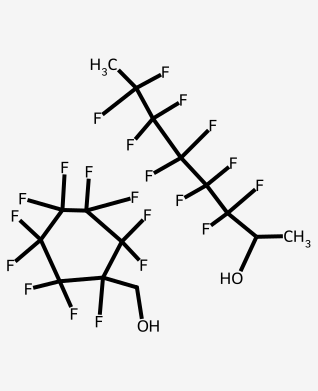 CC(O)C(F)(F)C(F)(F)C(F)(F)C(F)(F)C(C)(F)F.OCC1(F)C(F)(F)C(F)(F)C(F)(F)C(F)(F)C1(F)F